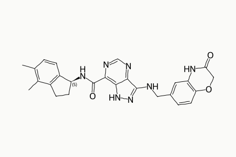 Cc1ccc2c(c1C)CC[C@@H]2NC(=O)c1ncnc2c(NCc3ccc4c(c3)NC(=O)CO4)n[nH]c12